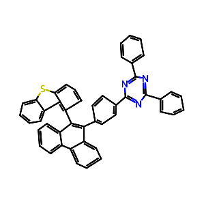 c1ccc(-c2nc(-c3ccccc3)nc(-c3ccc(-c4c(-c5cccc6sc7ccccc7c56)c5ccccc5c5ccccc45)cc3)n2)cc1